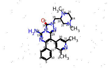 Cc1cc(-c2c(-c3ccccc3)nc(N)n3c(=O)n(CC4CN(C)CCN4C)nc23)cc(C)n1